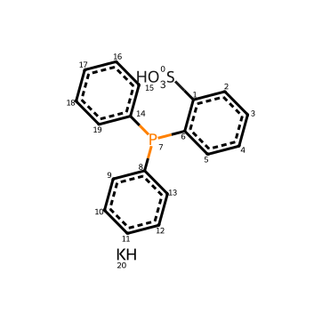 O=S(=O)(O)c1ccccc1P(c1ccccc1)c1ccccc1.[KH]